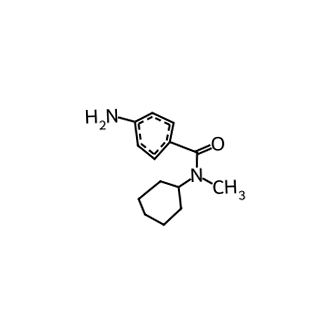 CN(C(=O)c1ccc(N)cc1)C1CCCCC1